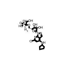 CC(CO)(OC[C@H]1O[C@@H](n2ncc3c(NC4CCCC4)cc(Cl)nc32)[C@H](O)[C@@H]1O)P(=O)(O)O